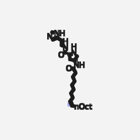 CCCCCCCC/C=C\CCCCCCCC(=O)N[C@@H]1CN[C@H](C(=O)NCCc2cnc[nH]2)C1